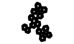 c1ccc(C2(c3ccccc3)c3ccccc3-c3ccc(-c4ccc(N(c5ccc6c(c5)C(c5ccccc5)(c5ccccc5)c5ccccc5-6)c5ccccc5-c5cccc(-c6cccc7ccccc67)c5)cc4)cc32)cc1